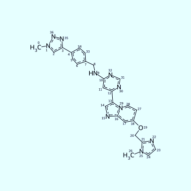 Cn1cc(-c2ccc(CNc3cc(-c4cnc5cc(OCc6nccn6C)ccn45)ncn3)cc2)nn1